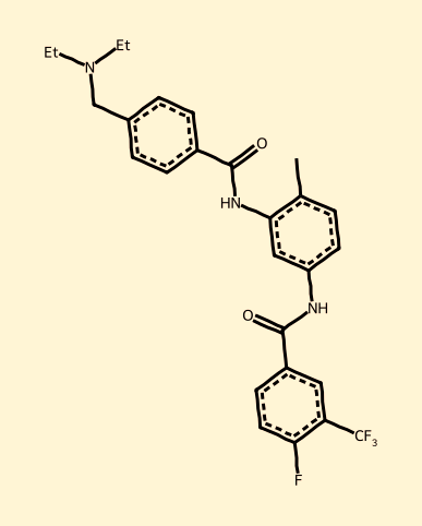 CCN(CC)Cc1ccc(C(=O)Nc2cc(NC(=O)c3ccc(F)c(C(F)(F)F)c3)ccc2C)cc1